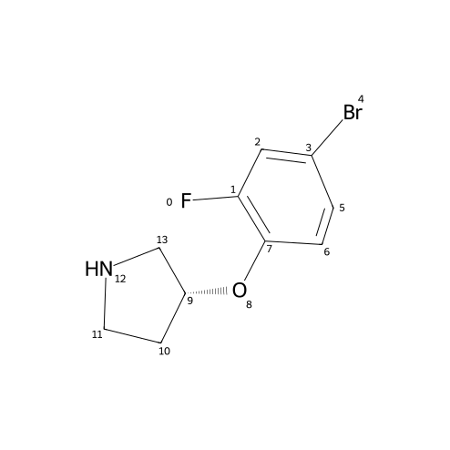 Fc1cc(Br)ccc1O[C@@H]1CCNC1